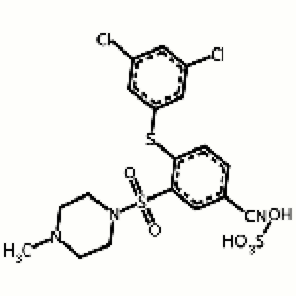 CN1CCN(S(=O)(=O)c2cc(C#N)ccc2Sc2cc(Cl)cc(Cl)c2)CC1.O=S(=O)(O)O